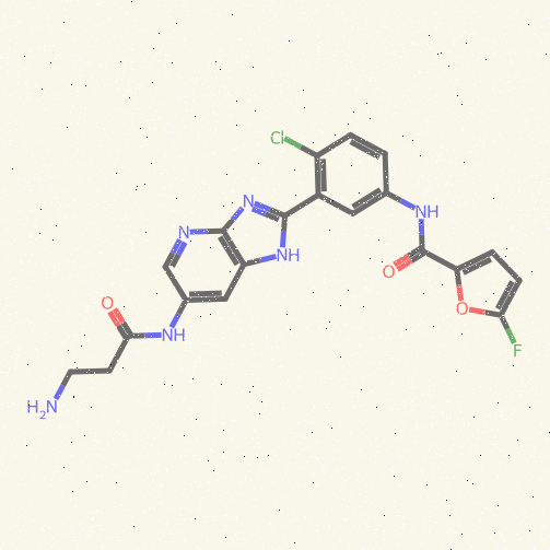 NCCC(=O)Nc1cnc2nc(-c3cc(NC(=O)c4ccc(F)o4)ccc3Cl)[nH]c2c1